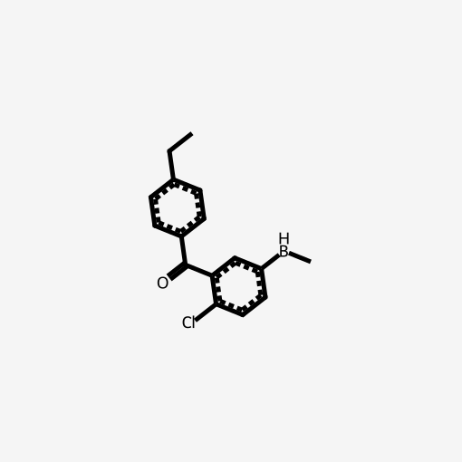 CBc1ccc(Cl)c(C(=O)c2ccc(CC)cc2)c1